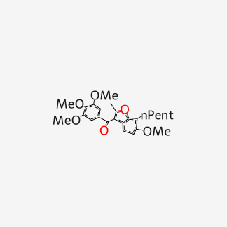 CCCCCc1c(OC)ccc2c(C(=O)c3cc(OC)c(OC)c(OC)c3)c(C)oc12